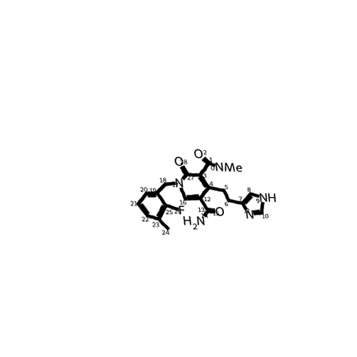 CNC(=O)c1c(CCc2c[nH]cn2)c(C(N)=O)cn(Cc2cccc(C)c2F)c1=O